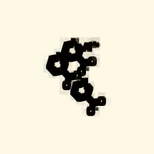 O=C([O-])c1cccnc1.O=C([O-])c1cccnc1.O=C([O-])c1cccnc1.[Al+3]